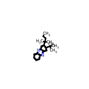 CCCC(C)(C)c1cc2nc3ccccc3nc2cc1C(C)(C)C